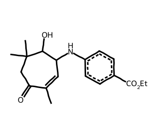 CCOC(=O)c1ccc(NC2C=C(C)C(=O)CC(C)(C)C2O)cc1